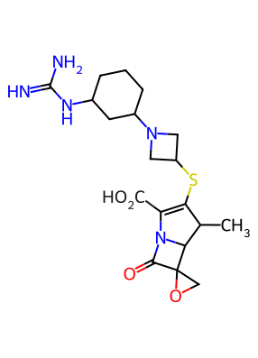 CC1C(SC2CN(C3CCCC(NC(=N)N)C3)C2)=C(C(=O)O)N2C(=O)C3(CO3)C12